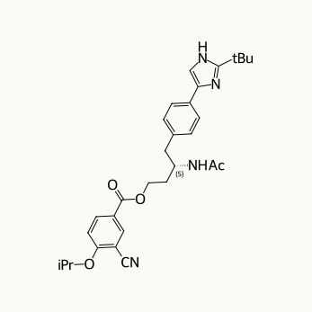 CC(=O)N[C@H](CCOC(=O)c1ccc(OC(C)C)c(C#N)c1)Cc1ccc(-c2c[nH]c(C(C)(C)C)n2)cc1